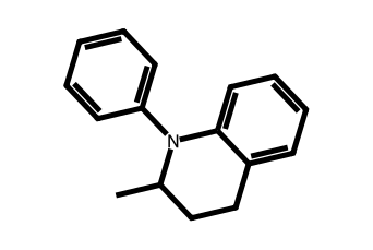 CC1CCc2ccccc2N1c1ccccc1